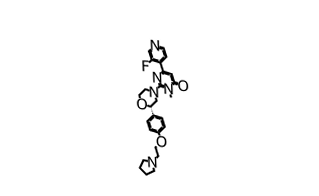 Cn1c(N2CCO[C@@H](c3ccc(OCCN4CCCC4)cc3)C2)nc(-c2ccncc2F)cc1=O